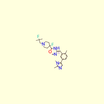 C=N/C(=C\c1cc(-c2cnc(C)n2C)ccc1C)NC(=O)C1(F)CCN(CC(C)(C)F)CC1